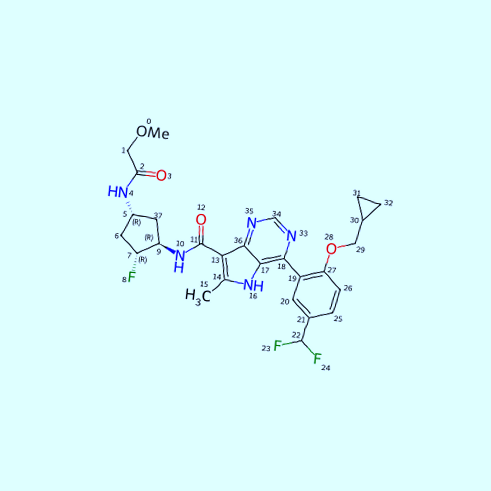 COCC(=O)N[C@H]1C[C@@H](F)[C@H](NC(=O)c2c(C)[nH]c3c(-c4cc(C(F)F)ccc4OCC4CC4)ncnc23)C1